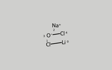 [Li][Cl].[Na+].[O-]Cl